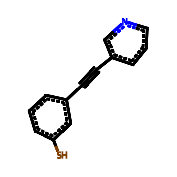 Sc1cccc(C#Cc2cccnc2)c1